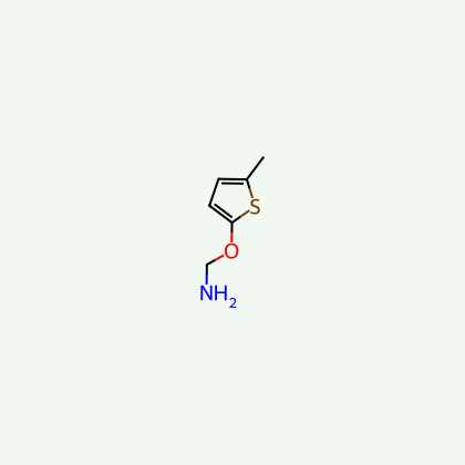 Cc1ccc(OCN)s1